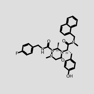 C[C@H]1N([C@@H](Cc2ccc(O)cc2)C(=O)N(C)Cc2cccc3ccccc23)C(=O)CN(C)N1C(=O)NCc1ccc(F)cc1